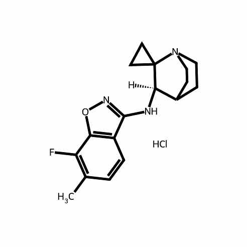 Cc1ccc2c(N[C@@H]3C4CCN(CC4)C34CC4)noc2c1F.Cl